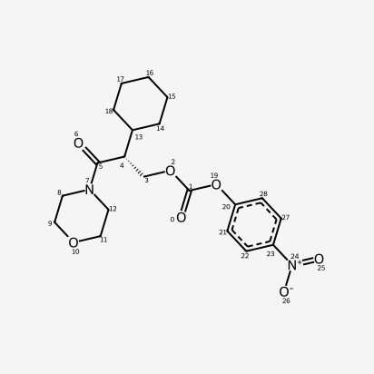 O=C(OC[C@H](C(=O)N1CCOCC1)C1CCCCC1)Oc1ccc([N+](=O)[O-])cc1